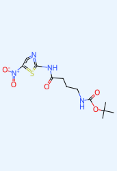 CC(C)(C)OC(=O)NCCCC(=O)Nc1ncc([N+](=O)[O-])s1